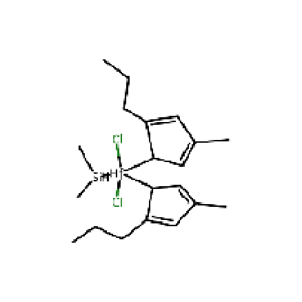 CCCC1=CC(C)=C[CH]1[Hf]([Cl])([Cl])([CH]1C=C(C)C=C1CCC)[SiH](C)C